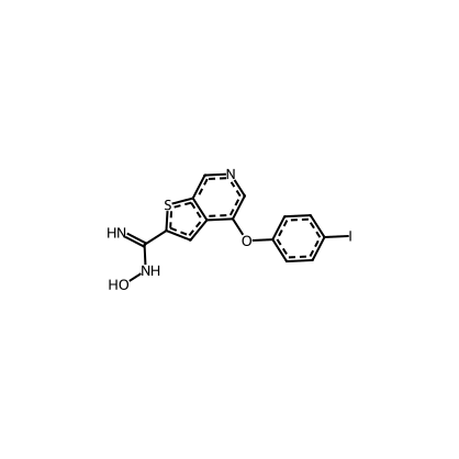 N=C(NO)c1cc2c(Oc3ccc(I)cc3)cncc2s1